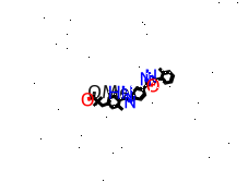 COC(=O)C(C)(C)Cc1cc(C)c(-c2nc3ccc(-c4nnc(-c5ccccc5C)o4)cc3[nH]2)c(C)c1